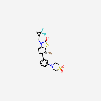 O=C1SC2C(=CC=C(c3cccc(N4CCS(=O)(=O)CC4)c3)[C@H]2Br)N1CC1CC1(F)F